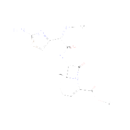 CCCCOC(=O)C1=CCS[C@@H]2C(NC(=O)/C(=N\OC)c3csc(N)n3)C(=O)N12